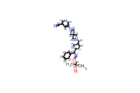 CC(C)(O)CON=C(c1ccc(F)c(F)c1)c1ccc(CN2CC3(C2)CN(c2cncc(C#N)c2)C3)cn1